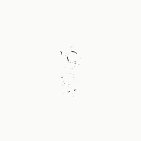 CS(=O)(=O)[C@H]1CC[C@H](N/C(=C(\C=N)C(=O)O)C(F)(F)F)CC1